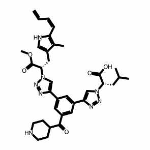 C=C/C=C\c1[nH]cc(C[C@@H](C(=O)OC)n2cc(-c3cc(C(=O)C4CCNCC4)cc(-c4cn([C@@H](CC(C)C)C(=O)O)nn4)c3)nn2)c1C